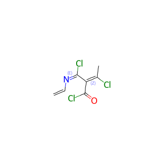 C=C/N=C(Cl)\C(C(=O)Cl)=C(/C)Cl